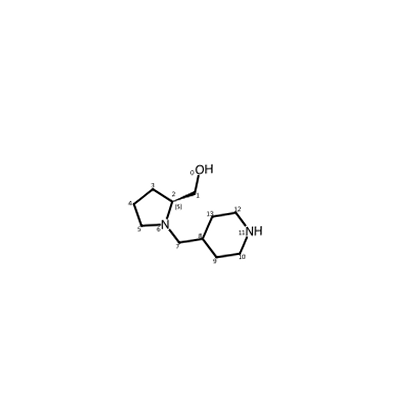 OC[C@@H]1CCCN1CC1CCNCC1